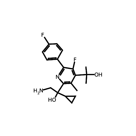 Cc1c(C(O)(CN)C2CC2)nc(-c2ccc(F)cc2)c(F)c1C(C)(C)O